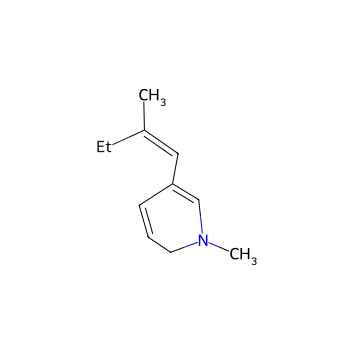 CC/C(C)=C\C1=CN(C)CC=C1